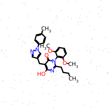 CCCCc1nc(O)c(Cc2cnn(-c3ccc(C)cc3)c2)c(=O)n1-c1c(OC)cccc1OC